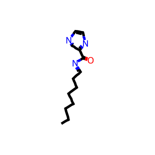 CCCCCCCC=NC(=O)c1cnccn1